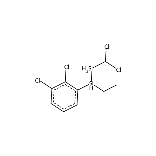 CC[SiH]([SiH2]C(Cl)Cl)c1cccc(Cl)c1Cl